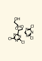 Clc1ncnc(Cl)n1.OCCOC(CO)c1nc(Cl)nc(Cl)n1